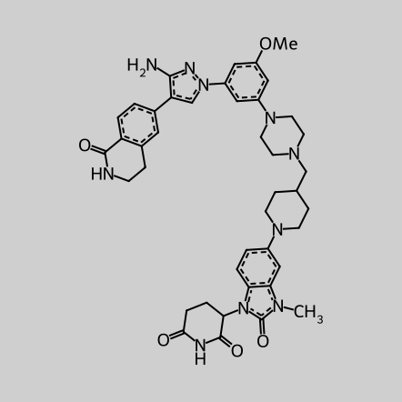 COc1cc(N2CCN(CC3CCN(c4ccc5c(c4)n(C)c(=O)n5C4CCC(=O)NC4=O)CC3)CC2)cc(-n2cc(-c3ccc4c(c3)CCNC4=O)c(N)n2)c1